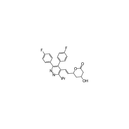 CC(C)c1nnc(-c2ccc(F)cc2)c(-c2ccc(F)cc2)c1/C=C/C1CC(O)CC(=O)O1